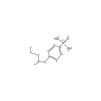 CCCC(C)Cc1ccc(P(=O)(O)O)cc1